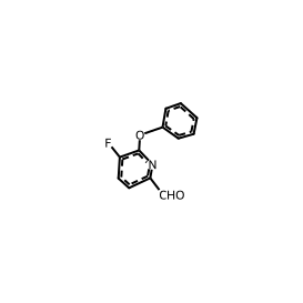 O=Cc1ccc(F)c(Oc2ccccc2)n1